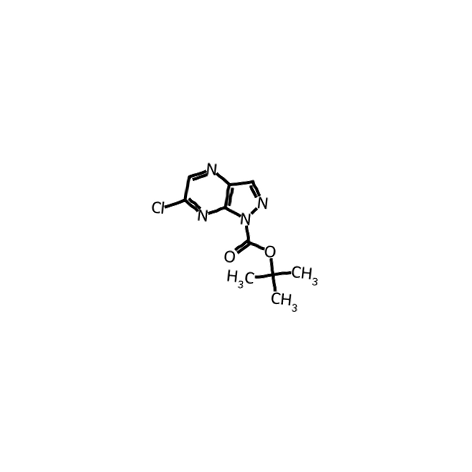 CC(C)(C)OC(=O)n1ncc2ncc(Cl)nc21